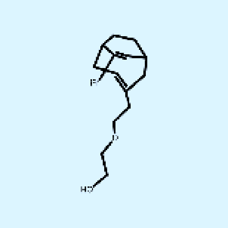 CC(C)C1=CC2CCC1C/C=C(\CCOCCO)C2